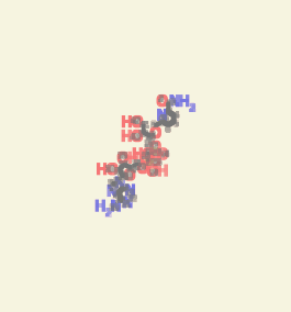 NC(=O)c1cccc(CO[C@H](COP(=O)(O)OP(=O)(O)OC[C@H]2O[C@@H](n3cnc4c(N)ncnc43)C(O)C2O)C(O)CO)n1